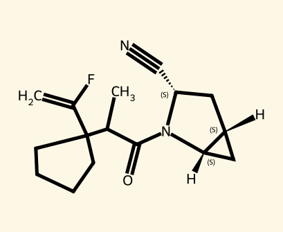 C=C(F)C1(C(C)C(=O)N2[C@H](C#N)C[C@@H]3C[C@@H]32)CCCC1